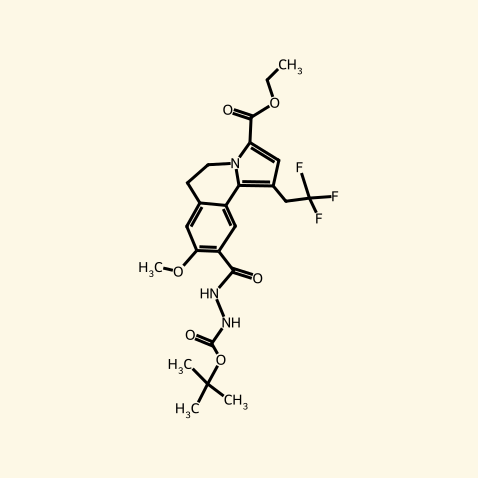 CCOC(=O)c1cc(CC(F)(F)F)c2n1CCc1cc(OC)c(C(=O)NNC(=O)OC(C)(C)C)cc1-2